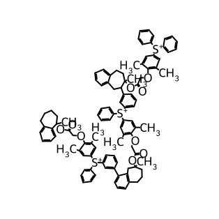 Cc1cc([S+](c2ccccc2)c2cccc(C3Cc4ccccc4CCC3(C)OC(=O)COc3c(C)cc([S+](c4ccccc4)c4ccccc4)cc3C)c2)cc(C)c1OCC(=O)OC1(C)CCCc2cccc(-c3cccc([S+](c4ccccc4)c4cc(C)c(OCC(=O)OC5(C)CCCCc6ccccc65)c(C)c4)c3)c2C1